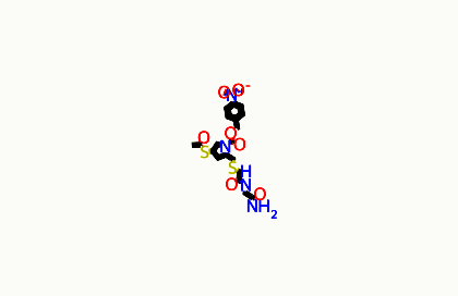 CC(=O)SC1CC(CSCC(=O)NCC(N)=O)N(C(=O)OCc2ccc([N+](=O)[O-])cc2)C1